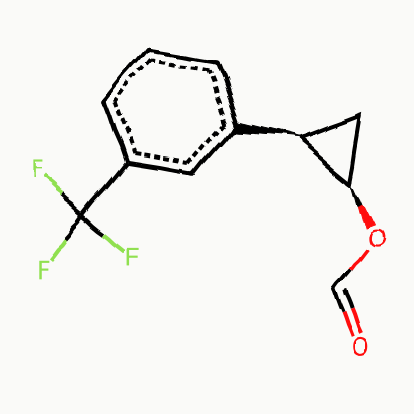 O=CO[C@@H]1C[C@@H]1c1cccc(C(F)(F)F)c1